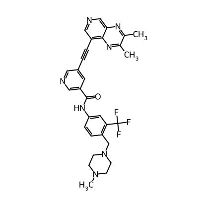 Cc1nc2cncc(C#Cc3cncc(C(=O)Nc4ccc(CN5CCN(C)CC5)c(C(F)(F)F)c4)c3)c2nc1C